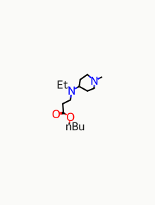 CCCCOC(=O)CCN(CC)C1CCN(C)CC1